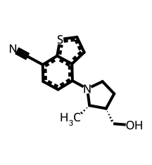 C[C@H]1[C@@H](CO)CCN1c1ccc(C#N)c2sccc12